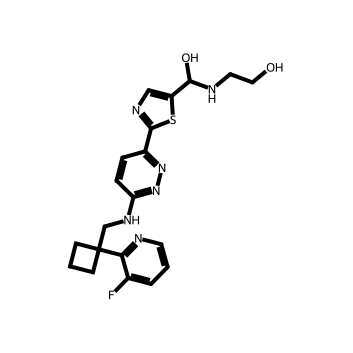 OCCNC(O)c1cnc(-c2ccc(NCC3(c4ncccc4F)CCC3)nn2)s1